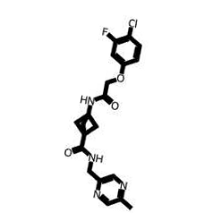 Cc1cnc(CNC(=O)C23CC(NC(=O)COc4ccc(Cl)c(F)c4)(C2)C3)cn1